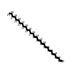 [CH]=CC=CC=CC=CC=CC=CC=CC=CCCCCCCCCCCCCCC